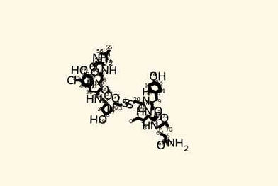 CC[C@H](C)[C@H](NC(=O)[C@H](Cc1ccc(O)cc1)NC(=O)CSSCC(=O)N1C[C@H](O)C[C@H]1C(=O)N[C@@H](Cc1ccc(O)c(Cl)c1)C(=O)NCC(=O)N[C@@H](CC(C)C)C(N)=O)C(=O)N[C@@H](CCC(N)=O)C(C)=O